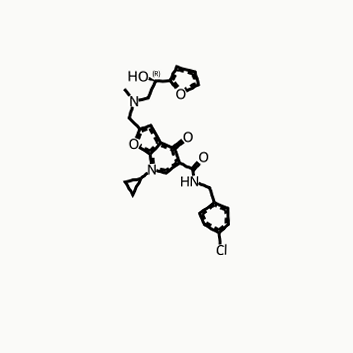 CN(Cc1cc2c(=O)c(C(=O)NCc3ccc(Cl)cc3)cn(C3CC3)c2o1)C[C@@H](O)c1ccco1